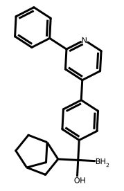 BC(O)(c1ccc(-c2ccnc(-c3ccccc3)c2)cc1)C1CC2CCC1C2